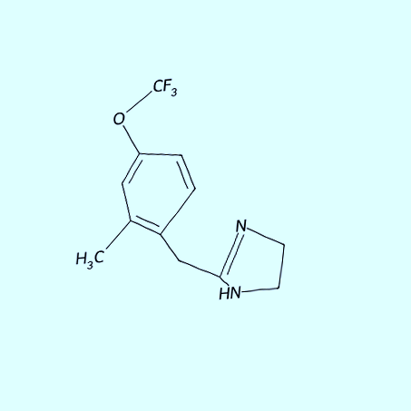 Cc1cc(OC(F)(F)F)ccc1CC1=NCCN1